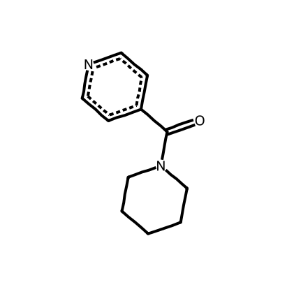 O=C(c1ccncc1)N1CCCCC1